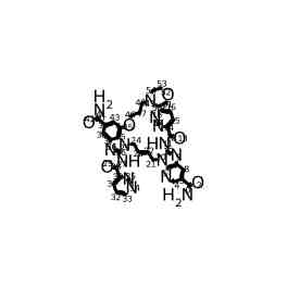 NC(=O)c1cnc2c(c1)nc(NC(=O)c1cccnn1)n2C/C=C/Cn1c(NC(=O)c2cccnn2)nc2cc(C(N)=O)cc(OCCCN3CCOCC3)c21